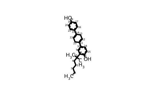 CCCCCC(C)(C)c1cc(C2=CCC(c3ccc(O)cc3)=CC2)ccc1O